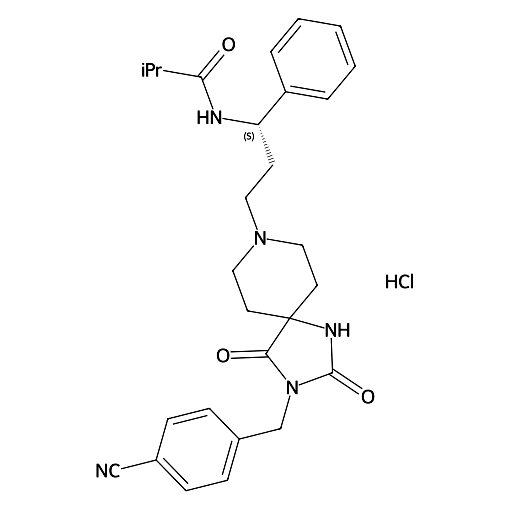 CC(C)C(=O)N[C@@H](CCN1CCC2(CC1)NC(=O)N(Cc1ccc(C#N)cc1)C2=O)c1ccccc1.Cl